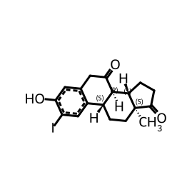 C[C@]12CC[C@@H]3c4cc(I)c(O)cc4CC(=O)[C@H]3[C@@H]1CCC2=O